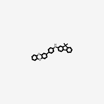 CC1(C)c2ccccc2-c2ccc(Nc3ccc(-c4ccc5c(c4)Oc4ccccc4O5)cc3)cc21